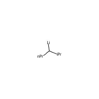 [Li][CH](CCC)C(C)C